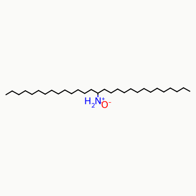 CCCCCCCCCCCCCCC(CCCCCCCCCCCCCC)[NH2+][O-]